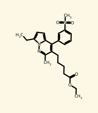 CCOC(=O)CCCCc1c(C)nn2c(CC)ccc2c1-c1cccc(S(C)(=O)=O)c1